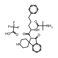 CC(C)(N)C(=O)NC(CCCc1ccccc1)C(=O)[C@H]1C(=O)c2ccccc2C12CCNCC2.O=C(O)C(F)(F)F